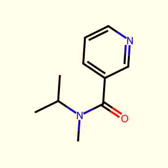 CC(C)N(C)C(=O)c1cccnc1